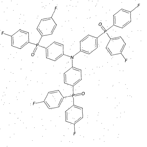 O=P(c1ccc(F)cc1)(c1ccc(F)cc1)c1ccc(N(c2ccc(P(=O)(c3ccc(F)cc3)c3ccc(F)cc3)cc2)c2ccc(P(=O)(c3ccc(F)cc3)c3ccc(F)cc3)cc2)cc1